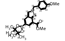 COC(=O)c1cc(B2OC(C)(C)C(C)(C)O2)cc2cn(Cc3ccc(OC)cc3)nc12